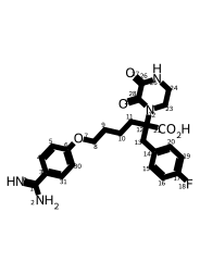 N=C(N)c1ccc(OCCCCC(Cc2ccc(F)cc2)(C(=O)O)N2CCNC(=O)C2=O)cc1